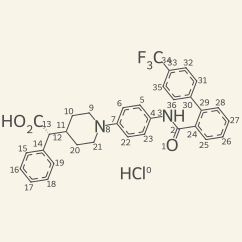 Cl.O=C(Nc1ccc(N2CCC([C@@H](C(=O)O)c3ccccc3)CC2)cc1)c1ccccc1-c1ccc(C(F)(F)F)cc1